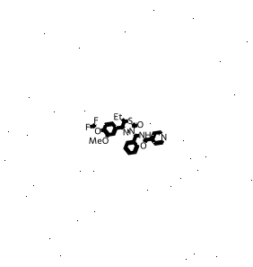 CCC1SC(=O)N(C(NC(=O)c2ccncc2)c2ccccc2)N=C1c1ccc(OC(F)F)c(OC)c1